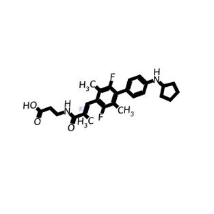 C/C(=C\c1c(C)c(F)c(-c2ccc(NC3CCCC3)cc2)c(C)c1F)C(=O)NCCC(=O)O